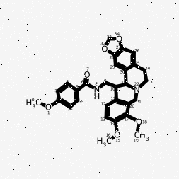 COc1ccc(C(=O)NCC2c3ccc(OC)c(OC)c3CN3CCc4cc5c(cc4C23)OCO5)cc1